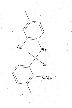 CCC(C)(Pc1ccc(C)cc1C(C)=O)c1cccc(C)c1OC